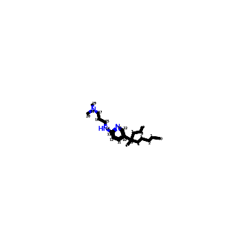 CCCCCC(C)(CCC)c1ccc(NCCCN(C)C)nc1